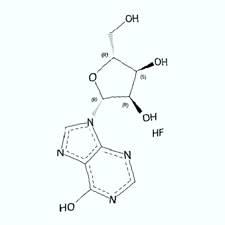 F.OC[C@H]1O[C@@H](n2cnc3c(O)ncnc32)[C@H](O)[C@@H]1O